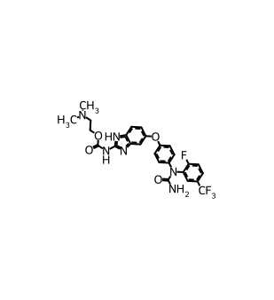 CN(C)CCOC(=O)Nc1nc2cc(Oc3ccc(N(C(N)=O)c4cc(C(F)(F)F)ccc4F)cc3)ccc2[nH]1